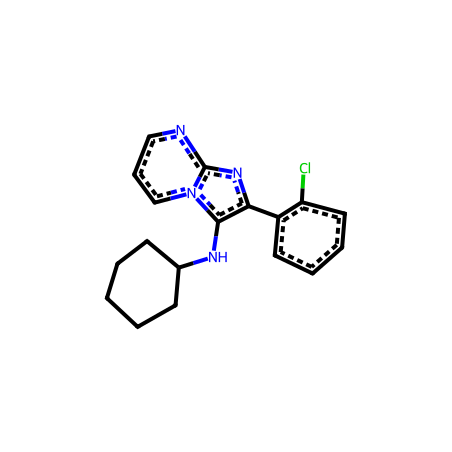 Clc1ccccc1-c1nc2ncccn2c1NC1CCCCC1